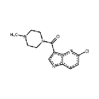 CN1CCN(C(=O)c2cnc3ccc(Cl)nn23)CC1